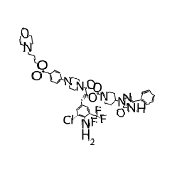 Nc1c(Cl)cc(C[C@@H](OC(=O)N2CCC(n3nc(-c4ccccc4)[nH]c3=O)CC2)C(=O)N2CCN(c3ccc(C(=O)OCCCN4CCOCC4)cc3)CC2)cc1C(F)(F)F